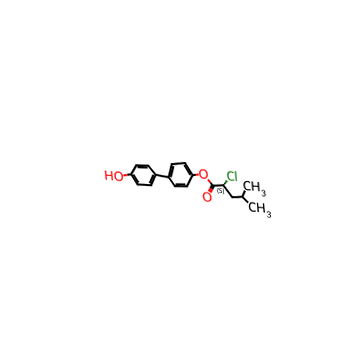 CC(C)C[C@H](Cl)C(=O)Oc1ccc(-c2ccc(O)cc2)cc1